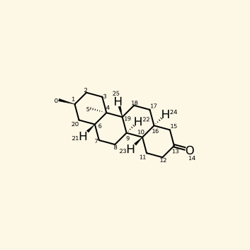 C[C@H]1CC[C@]2(C)[C@H](CC[C@@H]3[C@H]4CCC(=O)C[C@@H]4CC[C@H]32)C1